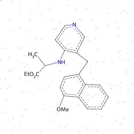 CCOC(=O)C(C)Nc1ccncc1Cc1ccc(OC)c2ccccc12